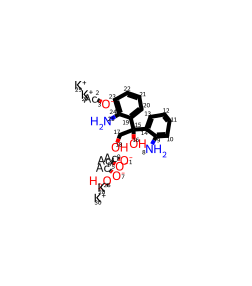 CC(=O)[O-].CC(=O)[O-].CC(=O)[O-].CC(=O)[O-].Nc1ccccc1C(O)(CO)c1ccccc1N.O.[K+].[K+].[K+].[K+]